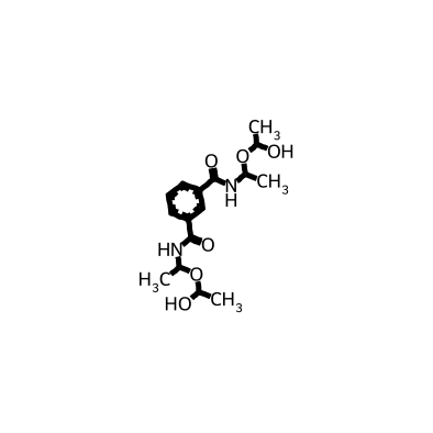 CC(O)OC(C)NC(=O)c1cccc(C(=O)NC(C)OC(C)O)c1